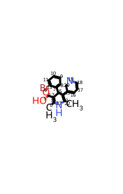 CC1=C(C(=O)O)C(c2ccccc2Br)C(c2cccnc2)=C(C)N1